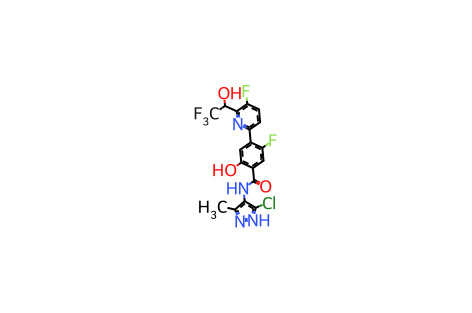 Cc1n[nH]c(Cl)c1NC(=O)c1cc(F)c(-c2ccc(F)c(C(O)C(F)(F)F)n2)cc1O